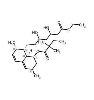 CCOC(=O)CC(O)CC(O)CC[C@@H]1[C@@H]2C(=C[C@H](C)C[C@@H]2OC(=O)C(C)(C)CC)C=C[C@@H]1C